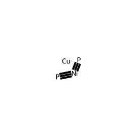 [Cu].[P]#[Ni]#[P]